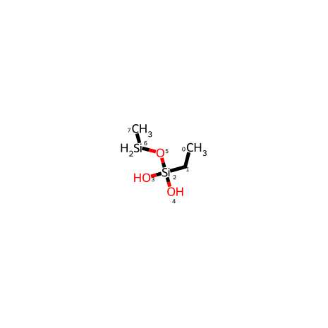 CC[Si](O)(O)O[SiH2]C